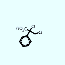 O=C(O)C(Cl)(CCl)c1ccccc1